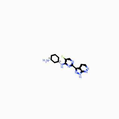 N[C@@H]1CCC[C@H](Nc2nc(-c3n[nH]c4nnccc34)ncc2F)C1